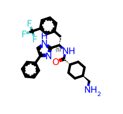 NC[C@H]1CC[C@H](C(=O)N[C@@H](Cc2cccc(C(F)(F)F)c2)c2nc(-c3ccccc3)c[nH]2)CC1